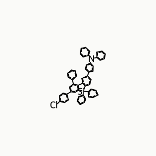 Clc1ccc(-c2cc(-c3ccccc3)c3c(c2)[Si](c2ccccc2)(c2ccccc2)c2ccc(-c4ccc(N(c5ccccc5)c5ccccc5)cc4)cc2-3)cc1